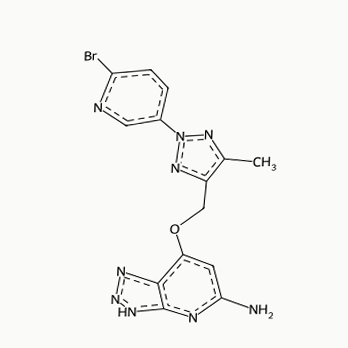 Cc1nn(-c2ccc(Br)nc2)nc1COc1cc(N)nc2[nH]nnc12